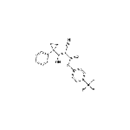 N#CC(C(=O)Nc1ccc(C(F)(F)F)cc1)=C(O)C1(c2ccccc2)CC1